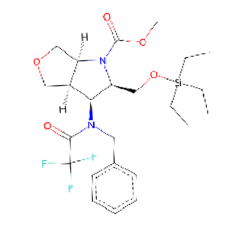 CC[Si](CC)(CC)OC[C@H]1[C@@H](N(Cc2ccccc2)C(=O)C(F)(F)F)[C@H]2COC[C@H]2N1C(=O)OC